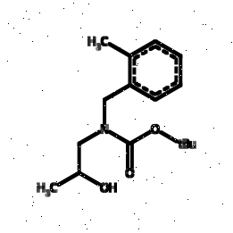 Cc1ccccc1CN(CC(C)O)C(=O)OC(C)(C)C